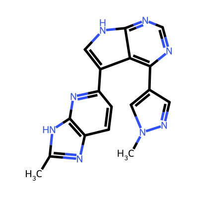 Cc1nc2ccc(-c3c[nH]c4ncnc(-c5cnn(C)c5)c34)nc2[nH]1